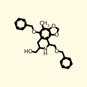 Cc1c(OCc2ccccc2)c2c(c3c1OCO3)C(COCc1ccccc1)NC(CO)C2